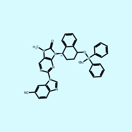 Cn1c(=O)n([C@@H]2CCC(O[Si](c3ccccc3)(c3ccccc3)C(C)(C)C)c3ccccc32)c2nc(-n3cnc4ccc(C#N)cc43)ncc21